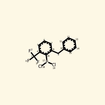 FC(F)(F)c1cccc(Cc2ccccc2)c1P(Cl)Cl